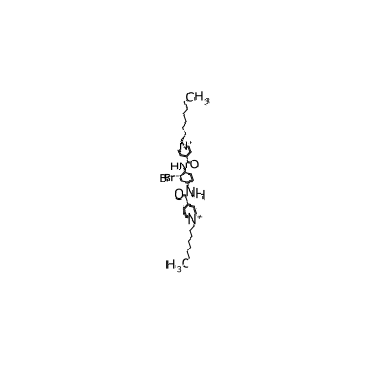 CCCCCCCC[n+]1ccc(C(=O)Nc2ccc(NC(=O)c3cc[n+](CCCCCCCC)cc3)cc2)cc1.[Br-].[Br-]